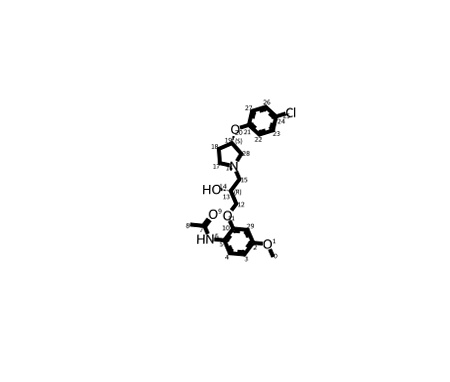 COc1ccc(NC(C)=O)c(OC[C@H](O)CN2CC[C@H](Oc3ccc(Cl)cc3)C2)c1